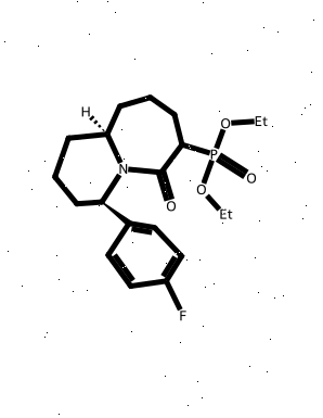 CCOP(=O)(OCC)C1CCC[C@@H]2CCC[C@H](c3ccc(F)cc3)N2C1=O